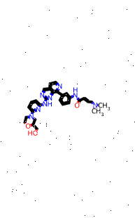 CN(C)CC=CC(=O)Nc1cccc(-c2nccc3cnc(Nc4cccc(N5CCOC(CO)C5)n4)nc23)c1